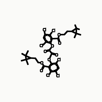 CC1(C)C(CCOC(=O)c2c(Cl)c(Cl)cc(Cl)c2OC(=O)C(=O)Oc2c(Cl)cc(Cl)c(Cl)c2C(=O)OCCC2C(C)(C)C2(C)C)C1(C)C